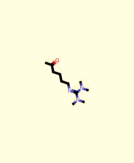 CC(=O)CCCCN=C(N(C)C)N(C)C